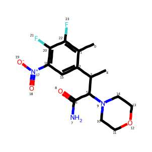 Cc1c(C(C)C(C(N)=O)N2CCOCC2)cc([N+](=O)[O-])c(F)c1F